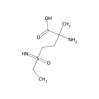 CCS(=N)(=O)CCC(C)(N)C(=O)O